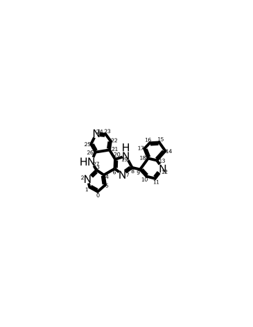 c1cnc2c(c1)-c1nc(-c3ccnc4ccccc34)[nH]c1-c1ccncc1N2